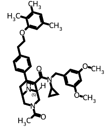 COc1cc(CN(C(=O)C2=C(c3ccc(CCOc4cc(C)cc(C)c4C)cc3)CC3CN(C(C)=O)C[C@H]2N3)C2CC2)cc(OC)c1